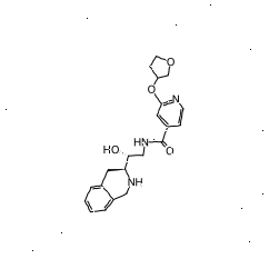 O=C(NC[C@@H](O)[C@@H]1Cc2ccccc2CN1)c1ccnc(OC2CCOC2)c1